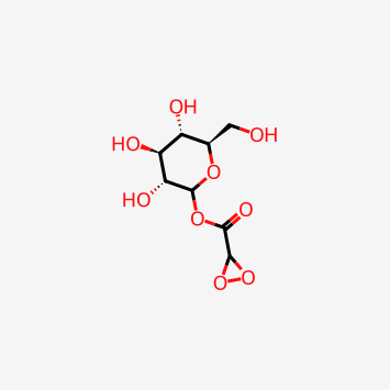 O=C(OC1O[C@H](CO)[C@@H](O)[C@H](O)[C@H]1O)C1OO1